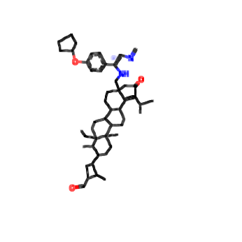 C=N/C=C(\NCC12CCC3C(CCC4C3CCC3(CC)C(C)C(C5CC(C=O)C5C)CCC43C)C1=C(C(C)C)C(=O)C2)c1ccc(OC2CCCC2)cc1